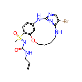 C=CCNC(=O)N=S(C)(=O)c1ccc2cc1OCCCCNc1nc(ncc1Br)N2